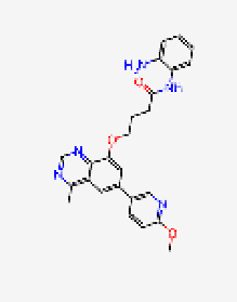 COc1ccc(-c2cc(OCCCC(=O)Nc3ccccc3N)c3ncnc(C)c3c2)cn1